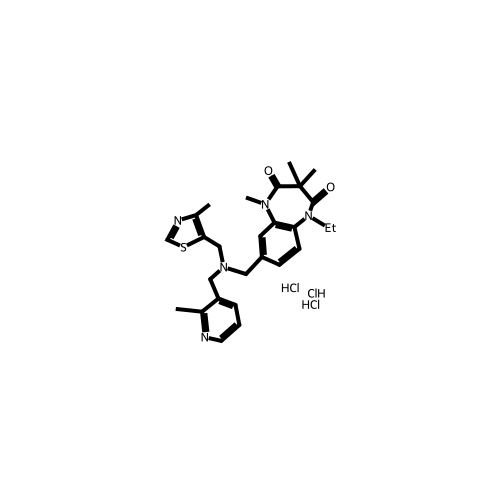 CCN1C(=O)C(C)(C)C(=O)N(C)c2cc(CN(Cc3cccnc3C)Cc3scnc3C)ccc21.Cl.Cl.Cl